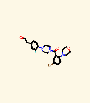 O=CCc1ccc(N2CCN(C(=O)c3cc(Br)ccc3N3CCOCC3)CC2)c(F)c1